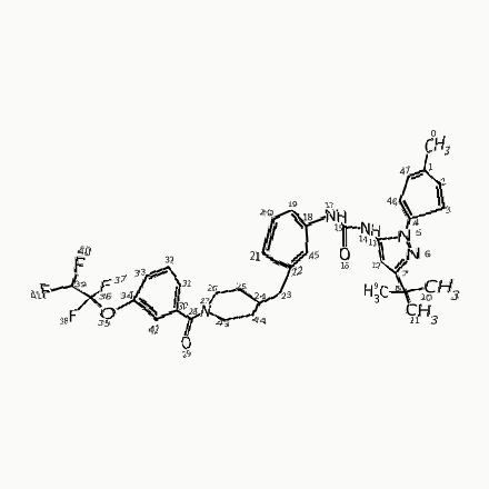 Cc1ccc(-n2nc(C(C)(C)C)cc2NC(=O)Nc2cccc(CC3CCN(C(=O)c4cccc(OC(F)(F)C(F)F)c4)CC3)c2)cc1